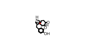 O=C1CC=C2C3NCC4C3Cc3ccc(O)c5c3[C@@]24[C@H]1O5